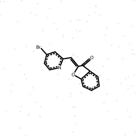 O=C1/C(=C/c2cc(Br)ccn2)Oc2ccccc21